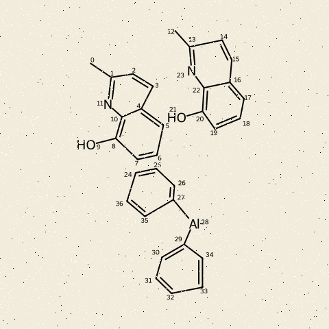 Cc1ccc2cccc(O)c2n1.Cc1ccc2cccc(O)c2n1.c1cc[c]([Al][c]2ccccc2)cc1